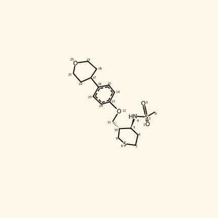 CS(=O)(=O)N[C@H]1CCSC[C@@H]1COc1ccc(C2CCOCC2)cc1